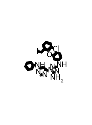 Nc1nc(Nc2cccc(Oc3c(Cl)cccc3CI)c2)nn1-c1cc(Nc2ccccc2)ncn1